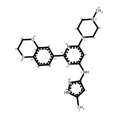 Cc1cc(Nc2cc(N3CCN(C)CC3)nc(-c3ccc4c(c3)OCCO4)n2)n[nH]1